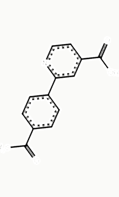 CC(=O)c1ccc(-c2cc(C(=O)O)ccn2)cc1